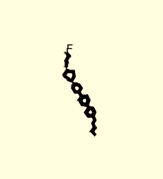 CCCCCc1ccc(-c2ccc(C3CCC([C@H]4CC[C@H](CCCCCF)CC4)CC3)cc2)cc1